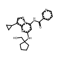 O=C(Nc1cc(NC2(CO)CCCC2)nc2c(C3CC3)cnn12)c1cccnc1